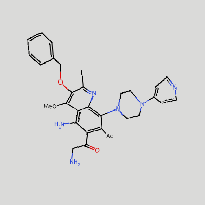 COc1c(OCc2ccccc2)c(C)nc2c(N3CCN(c4ccncc4)CC3)c(C(C)=O)c(C(=O)CN)c(N)c12